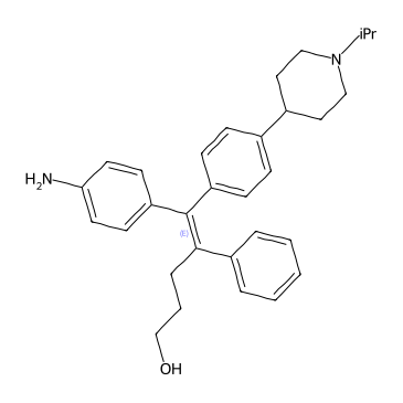 CC(C)N1CCC(c2ccc(/C(=C(/CCCO)c3ccccc3)c3ccc(N)cc3)cc2)CC1